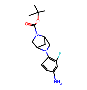 CC(C)(C)OC(=O)N1CC2CC1CN2c1ccc(N)cc1F